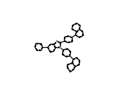 c1ccc(-c2ccc3c(c2)nc(-c2ccc(-c4cccc5ccccc45)cc2)n3-c2ccc(-c3cccc4ccccc34)cc2)cc1